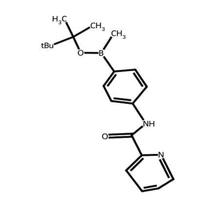 CB(OC(C)(C)C(C)(C)C)c1ccc(NC(=O)c2ccccn2)cc1